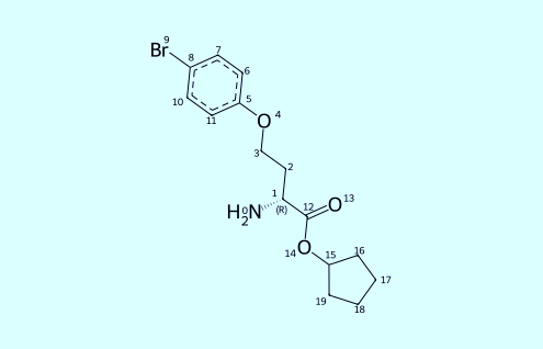 N[C@H](CCOc1ccc(Br)cc1)C(=O)OC1CCCC1